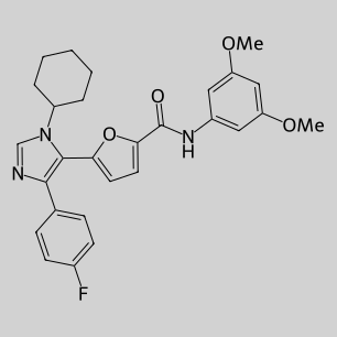 COc1cc(NC(=O)c2ccc(-c3c(-c4ccc(F)cc4)ncn3C3CCCCC3)o2)cc(OC)c1